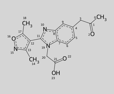 CC(=O)Cc1ccc2c(c1)nc(-c1c(C)noc1C)n2CC(=O)O